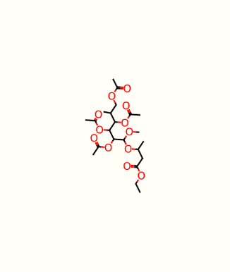 CCOC(=O)CC(C)OC(OC)C(OC(C)=O)C(OC(C)=O)C(OC(C)=O)C(C)COC(C)=O